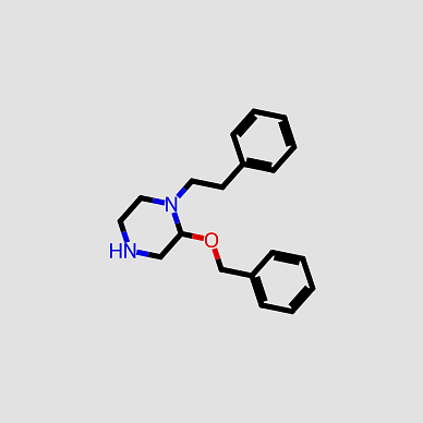 c1ccc(CCN2CCNCC2OCc2ccccc2)cc1